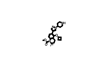 COC(=O)N1c2ccc(-c3cnn(C4CCNCC4)c3)c(OC3CCC3)c2CC[C@@H]1C